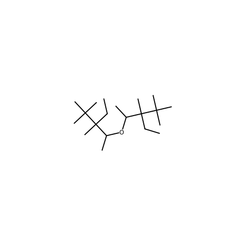 CCC(C)(C(C)OC(C)C(C)(CC)C(C)(C)C)C(C)(C)C